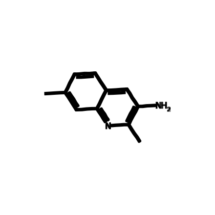 Cc1ccc2cc(N)c(C)nc2c1